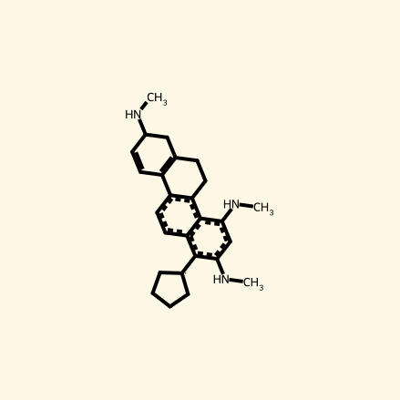 CNc1cc(NC)c2c3c(ccc2c1[C]1CCCC1)C1=C(CC3)CC(NC)C=C1